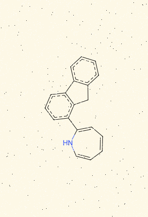 C1=CC=C(c2cccc3c2Cc2ccccc2-3)NC=C1